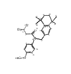 CCCCOc1ccc(N(Cc2ccc3c(c2)C(C)(C)CCC3(C)C)C(=O)CN(CC)CC)cn1